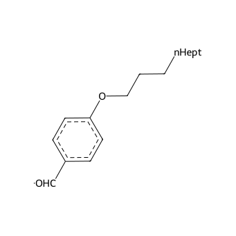 CCCCCCCCCCOc1ccc([C]=O)cc1